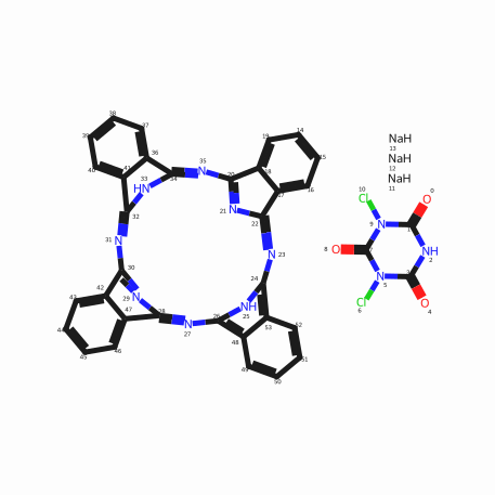 O=c1[nH]c(=O)n(Cl)c(=O)n1Cl.[NaH].[NaH].[NaH].c1ccc2c(c1)-c1nc-2nc2[nH]c(nc3nc(nc4[nH]c(n1)c1ccccc41)-c1ccccc1-3)c1ccccc21